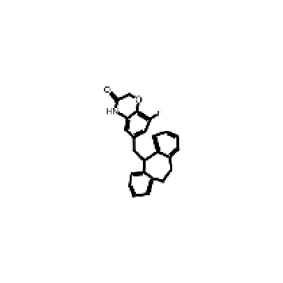 O=C1COc2c(F)cc(CC3c4ccccc4CCc4ccccc43)cc2N1